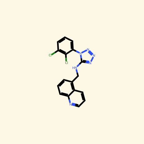 Clc1cccc(-n2nnnc2NCc2cccc3ncccc23)c1Cl